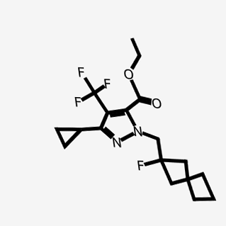 CCOC(=O)c1c(C(F)(F)F)c(C2CC2)nn1CC1(F)CC2(CCC2)C1